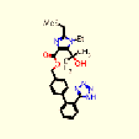 CCn1c(CSC)nc(C(=O)OCc2ccc(-c3ccccc3-c3nnn[nH]3)cc2)c1C(C)(C)O